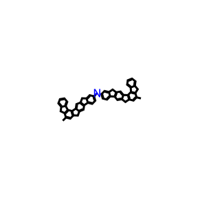 Cc1cc2c(c3c1Cc1ccccc1-3)-c1cc3c(cc1C2)-c1ccc(N(C)c2ccc4c(c2)Cc2cc5c(cc2-4)Cc2cc(C)c4c(c2-5)-c2ccccc2C4)cc1C3